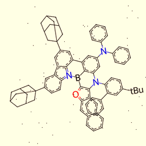 CC(C)(C)c1ccc(N2c3cc(N(c4ccccc4)c4ccccc4)cc4c3B(c3oc5cc6ccccc6cc5c32)n2c3ccc(C56CC7CC(CC(C7)C5)C6)cc3c3cc(C56CC7CC(CC(C7)C5)C6)cc-4c32)c(-c2ccccc2)c1